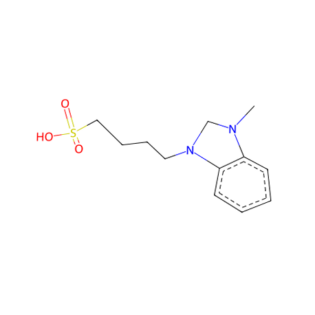 CN1CN(CCCCS(=O)(=O)O)c2ccccc21